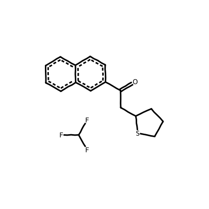 FC(F)F.O=C(CC1CCCS1)c1ccc2ccccc2c1